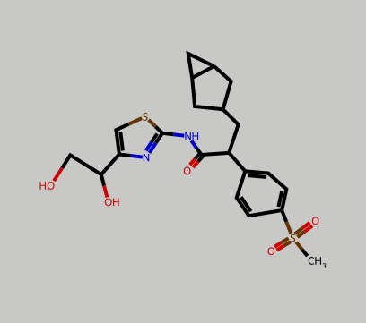 CS(=O)(=O)c1ccc(C(CC2CC3CC3C2)C(=O)Nc2nc(C(O)CO)cs2)cc1